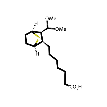 COC(OC)[C@H]1[C@@H](CCCCCCC(=O)O)[C@H]2CC[C@@H]1S2